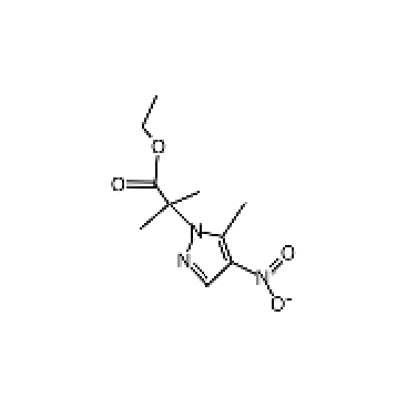 CCOC(=O)C(C)(C)n1ncc([N+](=O)[O-])c1C